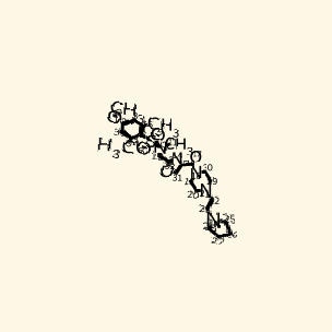 COc1cc(C)c(S(=O)(=O)N(C)Cc2nc(C(=O)N3CCN(CCN4CCCC4)CC3)co2)c(C)c1